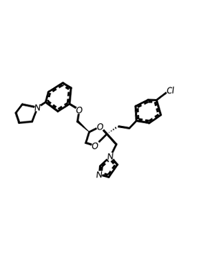 Clc1ccc(CC[C@]2(Cn3ccnc3)OC[C@@H](COc3cccc(N4CCCC4)c3)O2)cc1